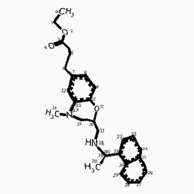 CCOC(=O)CCc1ccc2c(c1)N(C)CC(CN[C@H](C)c1cccc3ccccc13)O2